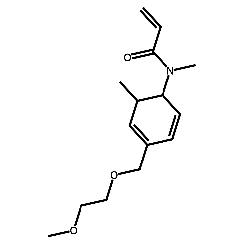 C=CC(=O)N(C)C1C=CC(COCCOC)=CC1C